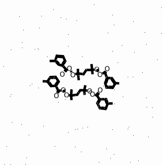 Cc1cccc(C(=O)OOC(C)(C)CCC(C)(C)OOC(=O)c2cccc(C)c2)c1.Cc1cccc(C(=O)OOC(C)(C)CCC(C)(C)OOC(=O)c2cccc(C)c2)c1